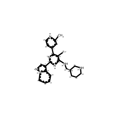 Cc1cc(-c2nc(-c3cnn4ccccc34)nc(NC[C@@H]3CCCNC3)c2F)ccn1